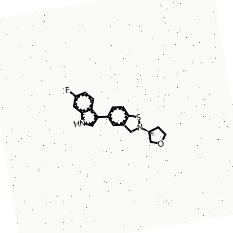 Fc1ccc2c(-c3ccc4c(c3)CN([C@H]3CCOC3)S4)c[nH]c2c1